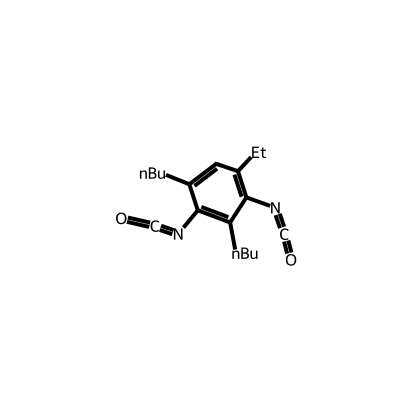 CCCCc1cc(CC)c(N=C=O)c(CCCC)c1N=C=O